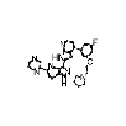 Fc1cc(OCCN2CCCC2)cc(-c2ccnc3[nH]c(-c4n[nH]c5ccc(-c6cnccn6)nc45)cc23)c1